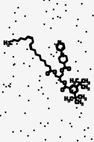 CCCCC/C=C\C/C=C\CCCCCCCC(=O)OCC(COC(=O)c1cc(C(C)(C)C)cc(C(C)(C)C)c1)COC(=O)C1CCN(c2ccncc2)CC1